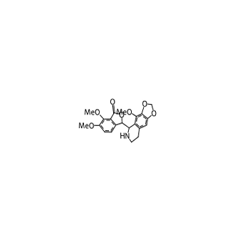 COc1ccc2c(c1OC)C(=O)OC2C1NCCc2cc3c(c(OC)c21)OCO3